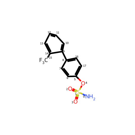 NS(=O)(=O)Oc1ccc(-c2ccccc2C(F)(F)F)cc1